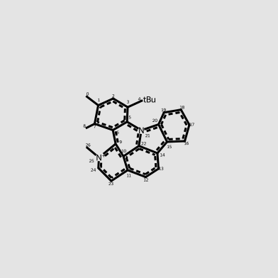 Cc1cc(C(C)(C)C)c2c(c1C)c1c3c(ccc4c5ccccc5n2c43)cc[n+]1C